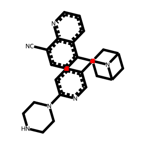 N#Cc1ccc(N2CC3CC(C2)N3Cc2ccc(N3CCNCC3)nc2)c2cccnc12